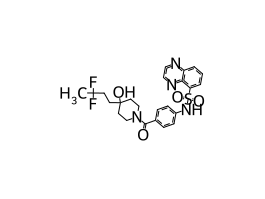 CC(F)(F)CCC1(O)CCN(C(=O)c2ccc(NS(=O)(=O)c3cccc4nccnc34)cc2)CC1